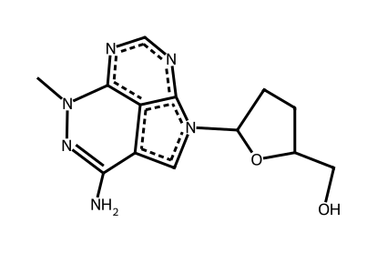 CN1N=C(N)c2cn(C3CCC(CO)O3)c3ncnc1c23